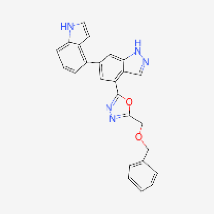 c1ccc(COCc2nnc(-c3cc(-c4cccc5[nH]ccc45)cc4[nH]ncc34)o2)cc1